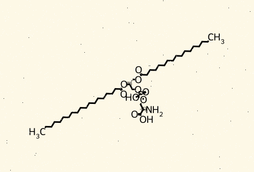 CCCCCCCCCCCCCCCCCCC(=O)O[C@H](COC(=O)CCCCCCCCCCCCCCCC)COP(=O)(O)OC[C@H](N)C(=O)O